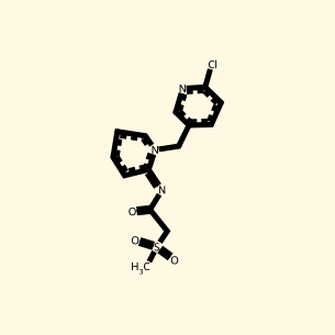 CS(=O)(=O)CC(=O)N=c1ccccn1Cc1ccc(Cl)nc1